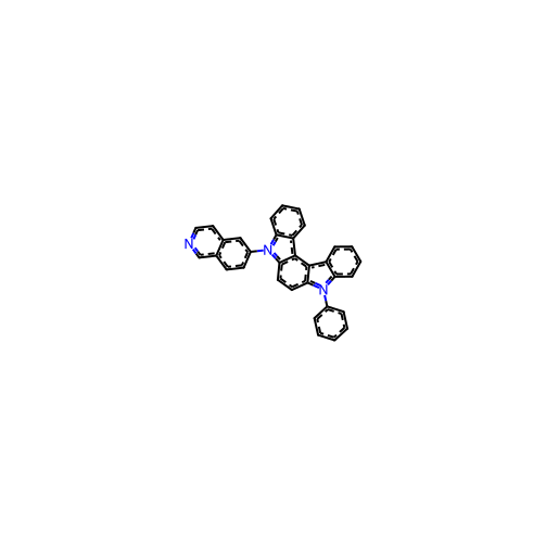 c1ccc(-n2c3ccccc3c3c4c5ccccc5n(-c5ccc6cnccc6c5)c4ccc32)cc1